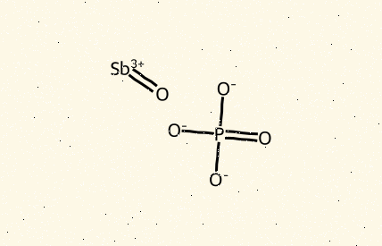 O=P([O-])([O-])[O-].[O]=[Sb+3]